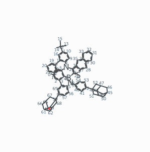 Cc1cc2c3c(c1)N(c1ccc(C(C)(C)C)cc1-c1ccccc1)c1c(sc4cc5ccccc5cc14)B3N(c1ccc(C34CC5CC(CC(C5)C3)C4)cc1)c1ccc(C34CC5CC(CC(C5)C3)C4)cc1-2